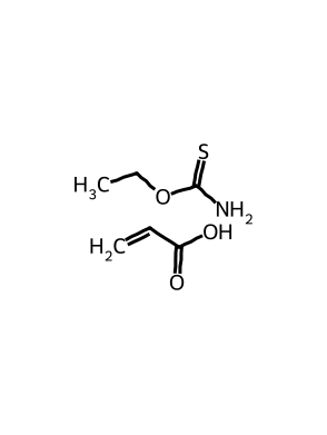 C=CC(=O)O.CCOC(N)=S